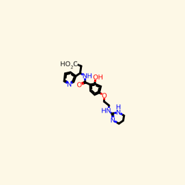 O=C(O)CC(NC(=O)c1ccc(OCCNC2=NCCCN2)cc1O)c1cccnc1